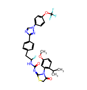 COc1ccc(C(C)C)c(N2C(=O)CS/C2=N/C(=O)NC(F)Cc2ccc(-c3ncn(-c4ccc(OC(F)(F)F)cc4)n3)cc2)c1